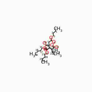 CCCCOC(=O)CC(OC(C)=O)(C(=O)OCCCC)C(CCC)C(=O)OCCCC